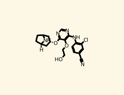 N#Cc1ccc(Nc2ncnc(O[C@H]3CC4CC[C@@H](C3)N4)c2OCCO)c(Cl)c1